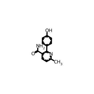 Cc1ccc(C(N)=O)c(-c2ccc(O)cc2)n1